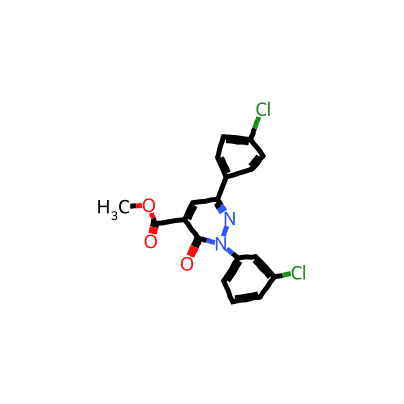 COC(=O)c1cc(-c2ccc(Cl)cc2)nn(-c2cccc(Cl)c2)c1=O